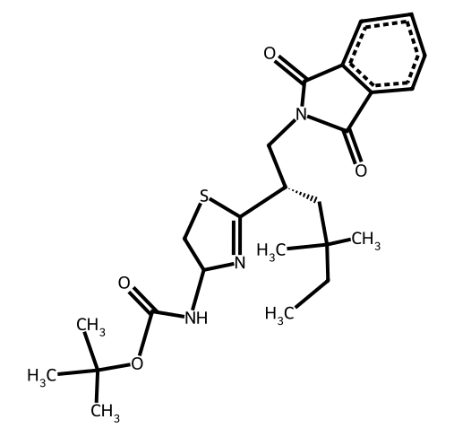 CCC(C)(C)C[C@@H](CN1C(=O)c2ccccc2C1=O)C1=NC(NC(=O)OC(C)(C)C)CS1